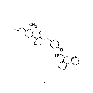 Cc1cc(N(C)C(=O)CCN2CCC(OC(=O)Nc3ccccc3-c3ccccc3)CC2)ccc1CO